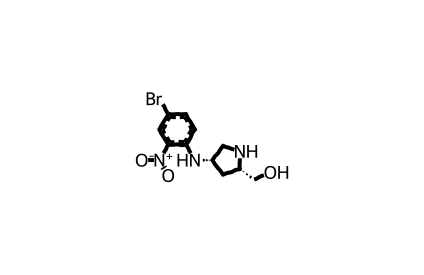 O=[N+]([O-])c1cc(Br)ccc1N[C@@H]1CN[C@H](CO)C1